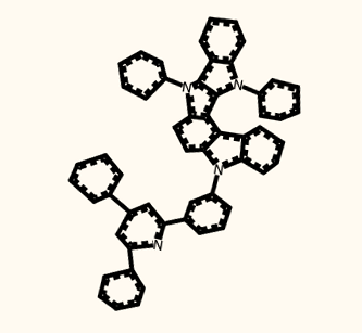 c1ccc(-c2cc(-c3ccccc3)nc(-c3cccc(-n4c5ccccc5c5c6c(ccc54)n(-c4ccccc4)c4c5ccccc5n(-c5ccccc5)c64)c3)c2)cc1